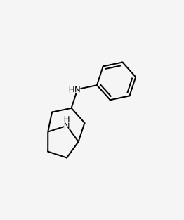 c1ccc(NC2CC3CCC(C2)N3)cc1